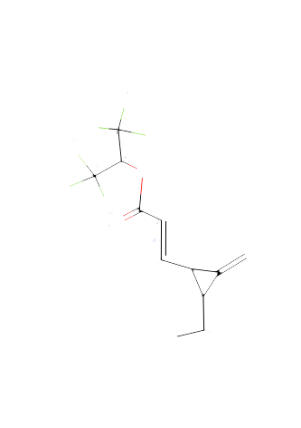 C=C1C(/C=C/C(=O)OC(C(F)(F)F)C(F)(F)F)C1CC